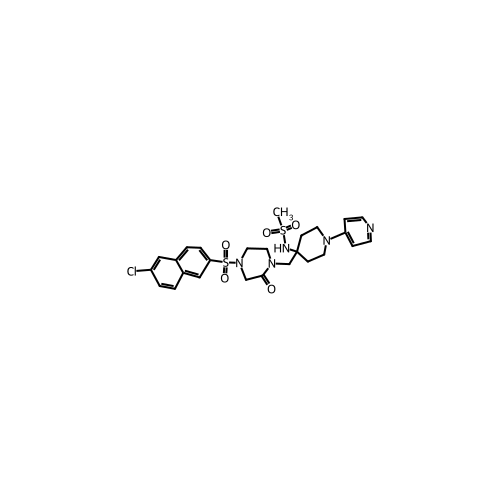 CS(=O)(=O)NC1(CN2CCN(S(=O)(=O)c3ccc4cc(Cl)ccc4c3)CC2=O)CCN(c2ccncc2)CC1